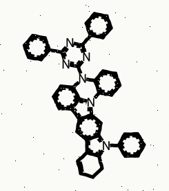 C1=Cc2c(n(-c3ccccc3)c3cc4c(cc23)c2cccc3c2n4-c2ccccc2N3c2nc(-c3ccccc3)nc(-c3ccccc3)n2)CC1